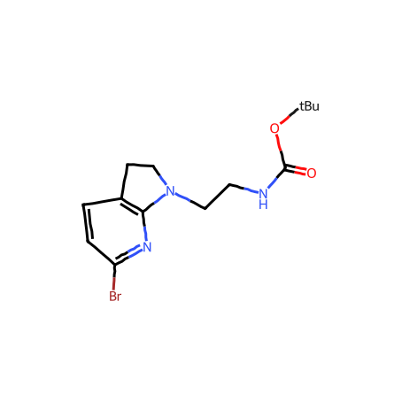 CC(C)(C)OC(=O)NCCN1CCc2ccc(Br)nc21